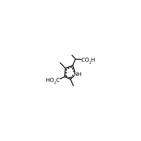 Cc1[nH]c(C(C)C(=O)O)c(C)c1C(=O)O